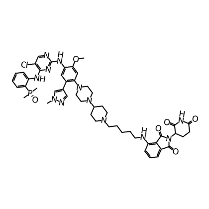 COc1cc(N2CCN(C3CCN(CCCCCNc4cccc5c4C(=O)N(C4CCC(=O)NC4=O)C5=O)CC3)CC2)c(-c2cnn(C)c2)cc1Nc1ncc(Cl)c(Nc2ccccc2P(C)(C)=O)n1